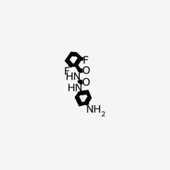 Nc1ccc(NC(=O)NC(=O)c2c(F)cccc2F)cc1